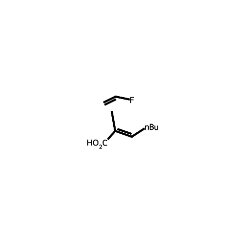 C=CF.CCCCC=C(C)C(=O)O